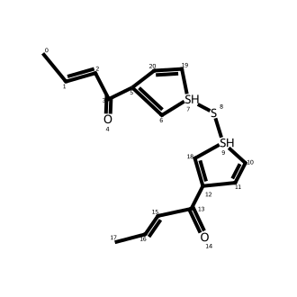 CC=CC(=O)C1=C[SH](S[SH]2C=CC(C(=O)C=CC)=C2)C=C1